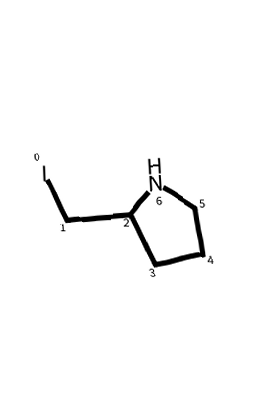 ICC1CCCN1